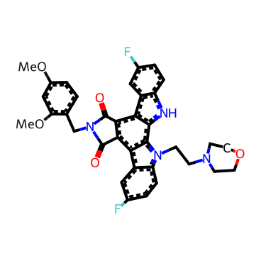 COc1ccc(CN2C(=O)c3c(c4c5cc(F)ccc5n(CCN5CCOCC5)c4c4[nH]c5ccc(F)cc5c34)C2=O)c(OC)c1